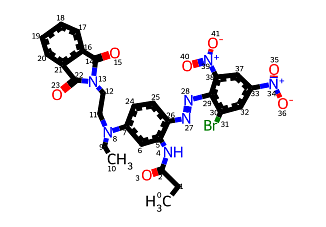 CCC(=O)Nc1cc(N(CC)CCN2C(=O)c3ccccc3C2=O)ccc1/N=N/c1c(Br)cc([N+](=O)[O-])cc1[N+](=O)[O-]